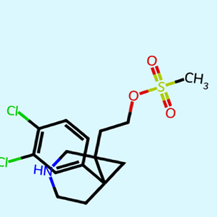 CS(=O)(=O)OCCC12CNCCC1(c1ccc(Cl)c(Cl)c1)C2